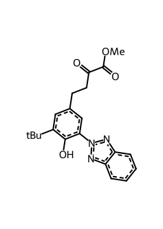 COC(=O)C(=O)CCc1cc(-n2nc3ccccc3n2)c(O)c(C(C)(C)C)c1